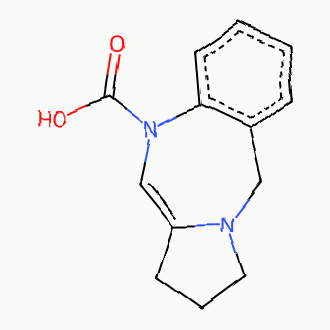 O=C(O)N1C=C2CCCN2Cc2ccccc21